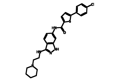 O=C(Nc1ccc2c(NCCN3CCCCC3)n[nH]c2c1)c1ccc(-c2ccc(Cl)cc2)s1